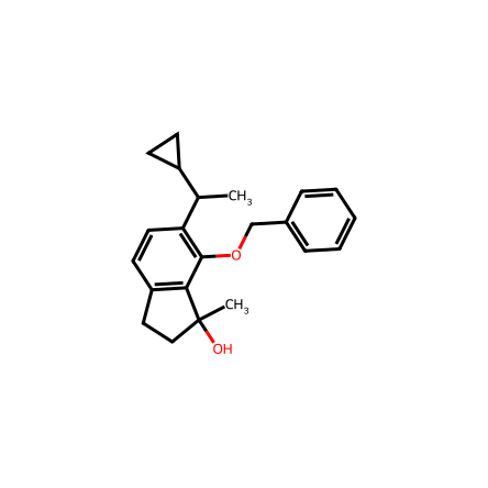 CC(c1ccc2c(c1OCc1ccccc1)C(C)(O)CC2)C1CC1